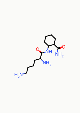 NCCCC[C@H](N)C(=O)NC1CCCCC1C(N)=O